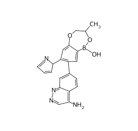 CC1COc2cc(C3C=CC=N3)c(-c3ccc4c(N)cnnc4c3)cc2B(O)O1